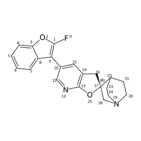 Fc1oc2ccccc2c1-c1cnc2c(c1)C[C@@]1(CN3CCC1CC3)O2